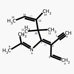 C#C/C(C=C)=C(/N=C(C)C)C(C)(C)/C(C)=C\C